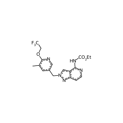 CCOC(=O)Nc1nccc2nn(Cc3cnc(OCC(F)(F)F)c(C)c3)cc12